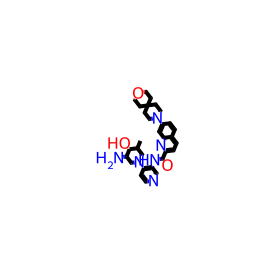 CC1CN(c2ccncc2NC(=O)c2ccc3ccc(N4CCC5(CCOCC5)CC4)cc3n2)CC(N)C1O